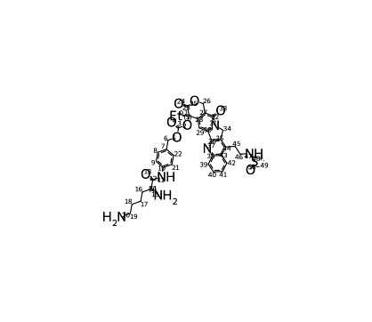 CC[C@@]1(OC(=O)OCc2ccc(NC(=O)[C@@H](N)CCCCN)cc2)C(=O)OCc2c1cc1n(c2=O)Cc2c-1nc1ccccc1c2CCN[S+](C)[O-]